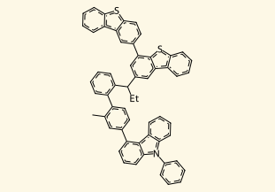 CCC(c1cc(-c2ccc3sc4ccccc4c3c2)c2sc3ccccc3c2c1)c1ccccc1-c1ccc(-c2cccc3c2c2ccccc2n3-c2ccccc2)cc1C